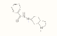 CN1CCC2CC/C(=N\NC(=O)c3cccnc3)CC21